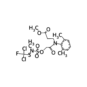 COC(=O)CCN(C(=O)COS(=O)(=O)N(C)SC(F)(Cl)Cl)c1c(C)cccc1C